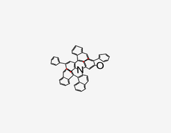 c1ccc(-c2ccc(N(c3ccc4c(c3)oc3ccccc34)c3ccc4ccccc4c3-c3cccc4ccccc34)c(-c3cccc4ccccc34)c2)cc1